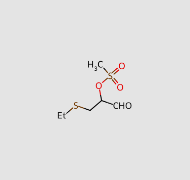 CCSCC(C=O)OS(C)(=O)=O